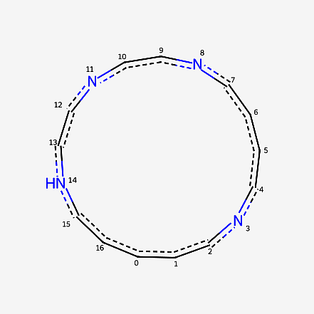 c1ccnccccnccncc[nH]cc1